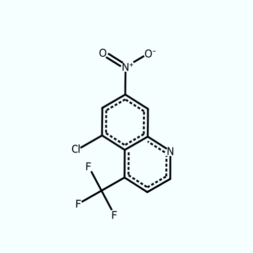 O=[N+]([O-])c1cc(Cl)c2c(C(F)(F)F)ccnc2c1